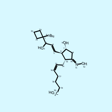 CCCCC1(C(O)/C=C/[C@H]2[C@H](O)CC(=NO)[C@@H]2C/C=C\CCCC(=O)O)CCC1